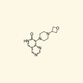 O=c1[nH]cc2cncnc2c1N1CCN(C2COC2)CC1